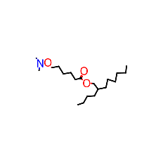 CCCCCCC(CCCC)COC(=O)CCCCCON(C)C